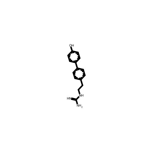 N=C(N)NCCc1ccc(-c2ccc(O)cc2)cc1